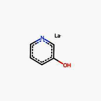 Oc1cccnc1.[La]